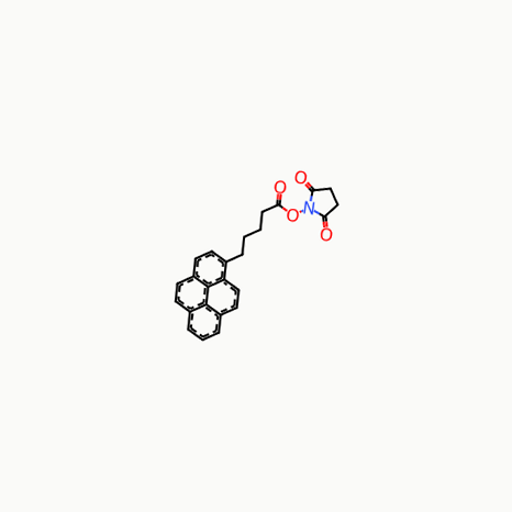 O=C(CCCCc1ccc2ccc3cccc4ccc1c2c34)ON1C(=O)CCC1=O